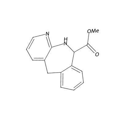 COC(=O)C1Nc2ncccc2Cc2ccccc21